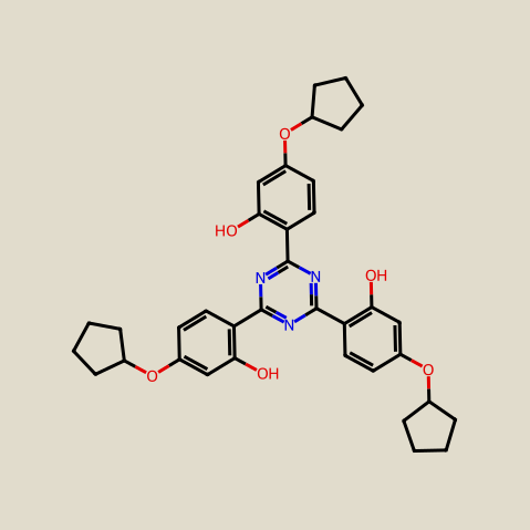 Oc1cc(OC2CCCC2)ccc1-c1nc(-c2ccc(OC3CCCC3)cc2O)nc(-c2ccc(OC3CCCC3)cc2O)n1